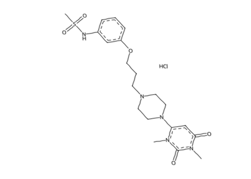 Cl.Cn1c(N2CCN(CCCOc3cccc(NS(C)(=O)=O)c3)CC2)cc(=O)n(C)c1=O